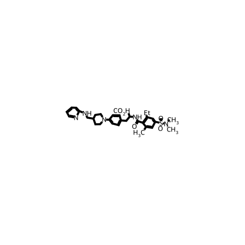 CCc1cc(S(=O)(=O)N(C)C)cc(C)c1C(=O)NC(Cc1ccc(N2CCC(CNc3ccccn3)CC2)cc1)C(=O)O